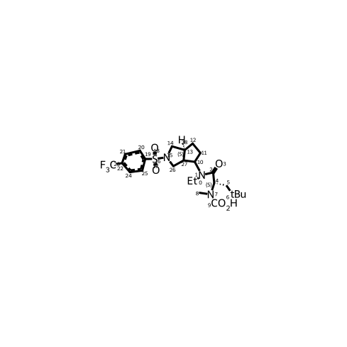 CCN(C(=O)[C@H](CC(C)(C)C)N(C)C(=O)O)C1CC[C@@H]2CN(S(=O)(=O)c3ccc(C(F)(F)F)cc3)CC12